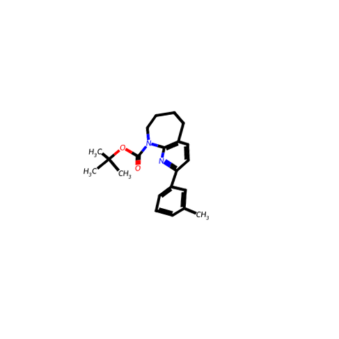 Cc1cccc(-c2ccc3c(n2)N(C(=O)OC(C)(C)C)CCCC3)c1